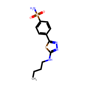 CCCCNc1nnc(-c2ccc(S(N)(=O)=O)cc2)s1